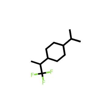 CC(C)C1CCC(C(C)C(F)(F)F)CC1